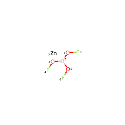 FOB(OF)OF.[Zn]